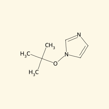 CC(C)(C)On1ccnc1